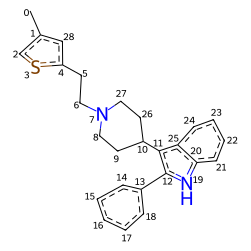 Cc1csc(CCN2CCC(c3c(-c4ccccc4)[nH]c4ccccc34)CC2)c1